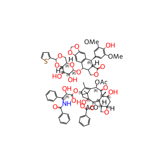 CC(=O)O[C@H]1C(=O)[C@@]2(C)[C@H]([C@H](OC(=O)c3ccccc3)[C@]3(O)C[C@H](OC(=O)[C@H](O)[C@@H](NC(=O)c4ccccc4)c4ccccc4)C(C)=C1C3(C)C)[C@]1(OC(C)=O)CO[C@@H]1C[C@@H]2O.COc1cc([C@@H]2c3cc4c(cc3C(O[C@@H]3O[C@@H]5COC(c6cccs6)O[C@H]5[C@H](O)[C@H]3O)C3COC(=O)[C@@H]32)OCO4)cc(OC)c1O